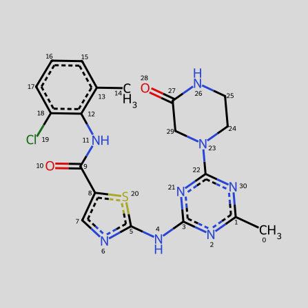 Cc1nc(Nc2ncc(C(=O)Nc3c(C)cccc3Cl)s2)nc(N2CCNC(=O)C2)n1